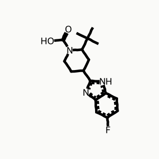 CC(C)(C)C1CC(c2nc3cc(F)ccc3[nH]2)CCN1C(=O)O